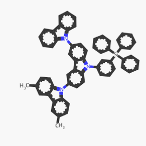 Cc1ccc2c(c1)c1cc(C)ccc1n2-c1ccc2c(c1)c1cc(-n3c4ccccc4c4ccccc43)ccc1n2-c1cccc([Si](c2ccccc2)(c2ccccc2)c2ccccc2)c1